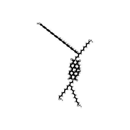 C#CC#CC#CC#CC#CC#CC#CC#CC#CC#CC(CCCCCCCC)CCn1c(=O)c2ccc3c4ccc5c(=O)n(CCC(CCCCCCCC)CCCCCCCCCC)c(=O)c6cc7sc8cc(c1=O)c2c3c8c7c4c56